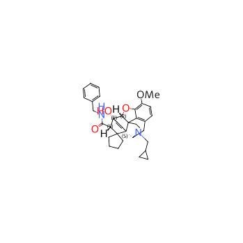 COc1ccc2c3c1O[C@@H]1C34CCN(CC3CC3)C(C2)[C@]42C=C[C@@]1(O)[C@@H](C(=O)NCc1ccccc1)C21CCCC1